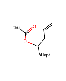 C=CCC(CCCCCCC)OC(=O)C(C)(C)C